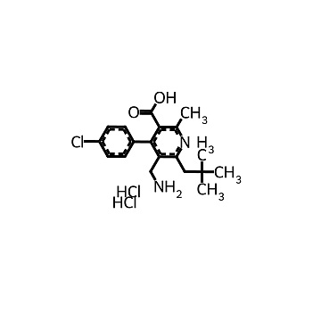 Cc1nc(CC(C)(C)C)c(CN)c(-c2ccc(Cl)cc2)c1C(=O)O.Cl.Cl